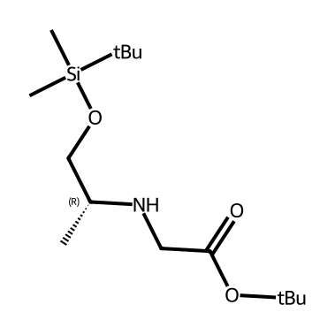 C[C@H](CO[Si](C)(C)C(C)(C)C)NCC(=O)OC(C)(C)C